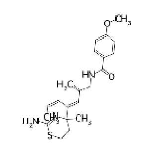 C=C(/C=C(\C=C/C)C1(C)CCSC(N)=N1)CNC(=O)c1ccc(OC)cc1